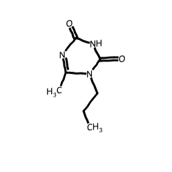 CCCn1c(C)nc(=O)[nH]c1=O